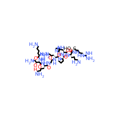 N=C(N)NCC/C=C(\NC(=O)[C@H](CCCCN)NC(=O)[C@H](Cc1cnc[nH]1)NC(=O)[C@@H]1CCCN1C(=O)[C@@H](CCCN)NC(=O)CNC(=O)[C@H](CCCCN)NC(=O)[C@@H](NC(=O)[C@@H](N)CCCCN)[C@@H](O)CN)C(=O)O